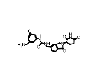 NCc1cc(Cl)cc(NC(=O)NCc2ccc3c(c2)CN(C2CCC(=O)NC2=O)C3=O)c1